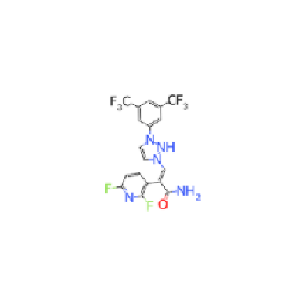 NC(=O)/C(=C/N1C=CN(c2cc(C(F)(F)F)cc(C(F)(F)F)c2)N1)c1ccc(F)nc1F